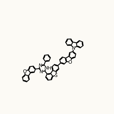 c1ccc(C2=NC(c3ccc4oc5ccccc5c4c3)=NC(c3cccc4sc5cc(-c6ccc7c(c6)oc6ccc(-n8c9ccccc9c9ccccc98)cc67)ccc5c34)N2)cc1